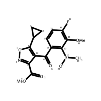 COC(=O)c1noc(C2CC2)c1C(=O)c1ccc(F)c(OC)c1[S+](C)[O-]